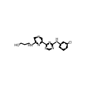 OCCCNc1cncc(-c2ncnc(Nc3cccc(Cl)c3)n2)n1